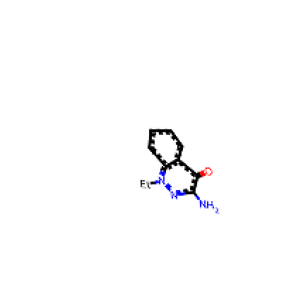 CCn1nc(N)c(=O)c2ccccc21